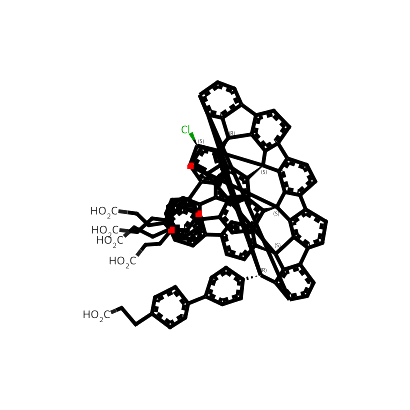 O=C(O)CCc1ccc(-c2ccc([C@]34C5=C6[C@]7(c8ccc(-c9ccc(CCC(=O)O)cc9)cc8)c8c9ccc(c83)-c3ccc8c(c34)[C@]3(c4ccc(-c%10ccc(CCC(=O)O)cc%10)cc4)C5=C4[C@@]5(c%10ccc(-c%11ccc(CCC(=O)O)cc%11)cc%10)c%10c(ccc-8c%103)-c3ccc8c(c35)[C@@](c3ccc(-c5ccc(CCC(=O)O)cc5)cc3)(c3c-8ccc-9c37)[C@@]64Cl)cc2)cc1